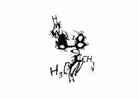 Cc1n[nH]c(C)c1CCOc1ccc2ccccc2c1-c1ccnc(N2CCNCC2)c1